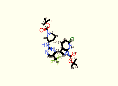 CC(C)(C)OC(=O)N1CCCC(Nc2ncc(C(F)(F)F)c(-c3cn(C(=O)OC(C)(C)C)c4nc(Cl)ccc34)n2)C1